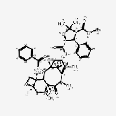 CC(=O)O[C@@]12CO[C@@H]1C[C@H](C)[C@@]1(C)C(=O)[C@H](C)C3=C(C)[C@@H](OC(=O)[C@@H]4OC(C)(C)N(C(=O)OC(C)(C)C)[C@H]4c4ccccc4)C[C@@](O)([C@@H](OC(=O)c4ccccc4)C12)C3(C)C